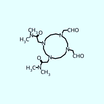 CN(C)C(=O)CN1CCCN(CC=O)CCN(CC=O)CCCN(CC(=O)N(C)C)CC1